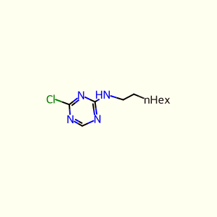 CCCCCCCCNc1ncnc(Cl)n1